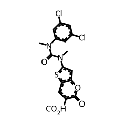 CN(C(=O)N(C)c1cc2oc(=O)c(C(=O)O)cc2s1)c1cc(Cl)cc(Cl)c1